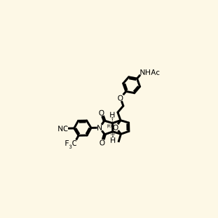 CC(=O)Nc1ccc(OCCC23C=CC(C)(O2)[C@H]2C(=O)N(c4ccc(C#N)c(C(F)(F)F)c4)C(=O)[C@H]23)cc1